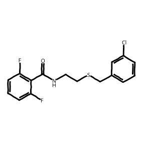 O=C(NCCSCc1cccc(Cl)c1)c1c(F)cccc1F